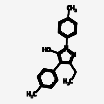 CCc1nn(-c2ccc(C)cc2)c(O)c1-c1ccc(C)cc1